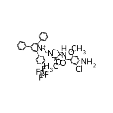 COc1cc(N)c(Cl)cc1C(=O)N[C@H]1CCN(CC[n+]2c(-c3ccccc3)cc(-c3ccccc3)cc2-c2ccccc2)C[C@H]1OC.F[B-](F)(F)F